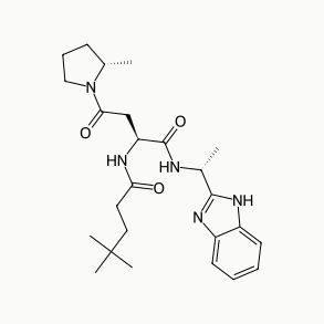 C[C@@H](NC(=O)[C@H](CC(=O)N1CCC[C@@H]1C)NC(=O)CCC(C)(C)C)c1nc2ccccc2[nH]1